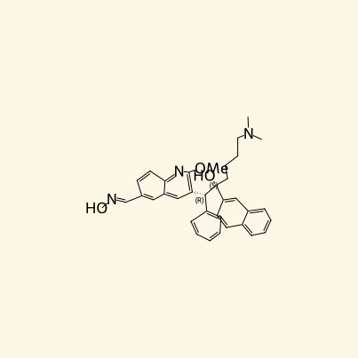 COc1nc2ccc(C=NO)cc2cc1[C@@H](c1ccccc1)[C@@](O)(CCCCN(C)C)c1ccc2ccccc2c1